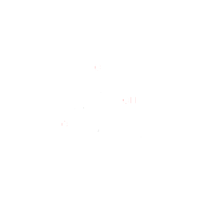 COC(C)(CCC(C)C)C(=O)O